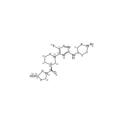 CC(=O)N1CCC(Nc2ncc(F)c(N3CCC[C@H](C(=O)N4CC[C@@H](O)C4)C3)n2)CC1